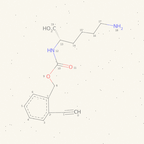 C#Cc1ccccc1COC(=O)N[C@@H](CCCCN)C(=O)O